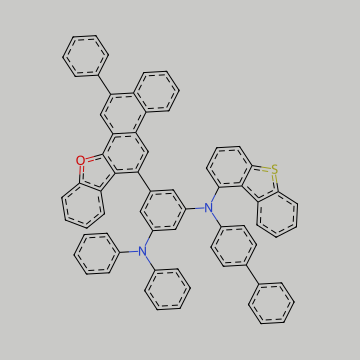 c1ccc(-c2ccc(N(c3cc(-c4cc5c6ccccc6c(-c6ccccc6)cc5c5oc6ccccc6c45)cc(N(c4ccccc4)c4ccccc4)c3)c3cccc4sc5ccccc5c34)cc2)cc1